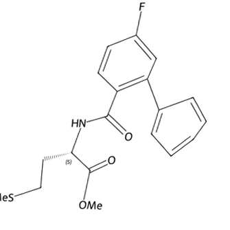 COC(=O)[C@H](CCSC)NC(=O)c1ccc(F)cc1-c1ccccc1